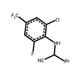 CC(C)C(C#N)Nc1c(F)cc(C(F)(F)F)cc1Cl